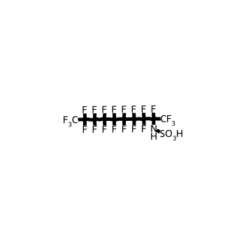 O=S(=O)(O)NC(F)(C(F)(F)F)C(F)(F)C(F)(F)C(F)(F)C(F)(F)C(F)(F)C(F)(F)C(F)(F)C(F)(F)F